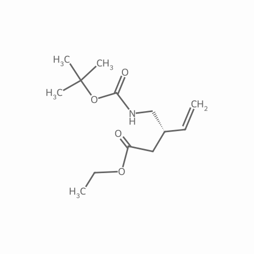 C=C[C@@H](CNC(=O)OC(C)(C)C)CC(=O)OCC